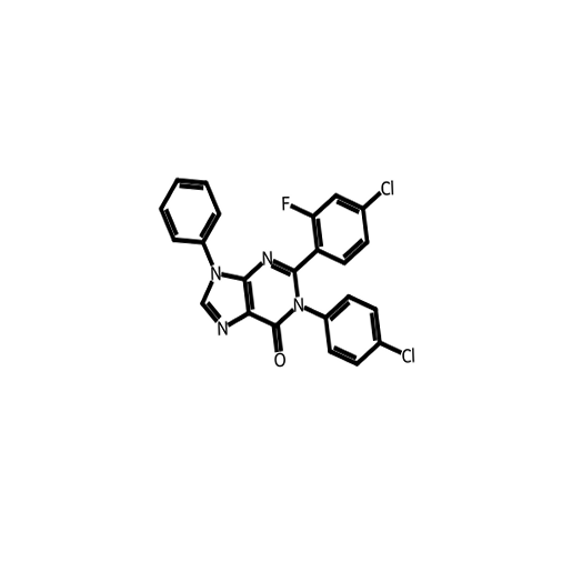 O=c1c2ncn(-c3ccccc3)c2nc(-c2ccc(Cl)cc2F)n1-c1ccc(Cl)cc1